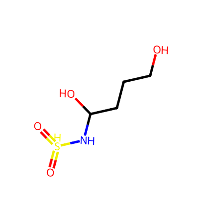 O=[SH](=O)NC(O)CCCO